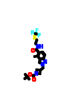 Cc1c(C(=O)NCCSC(F)(F)F)ccc2nn(CC3CN(C(=O)OC(C)(C)C)C3)cc12